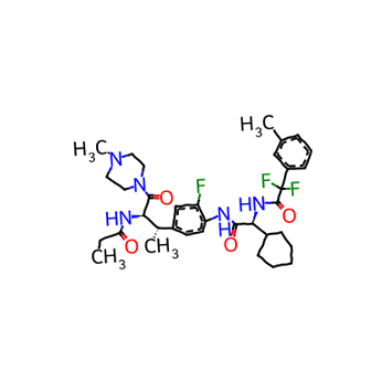 CCC(=O)N[C@@H](C(=O)N1CCN(C)CC1)[C@@H](C)c1ccc(NC(=O)[C@@H](NC(=O)C(F)(F)c2cccc(C)c2)C2CCCCC2)c(F)c1